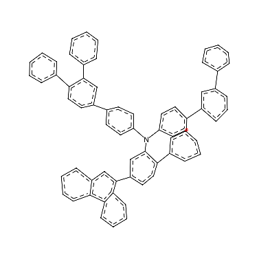 c1ccc(-c2cccc(-c3ccc(N(c4ccc(-c5ccc(-c6ccccc6)c(-c6ccccc6)c5)cc4)c4cc(-c5cc6ccccc6c6ccccc56)ccc4-c4ccccc4)cc3)c2)cc1